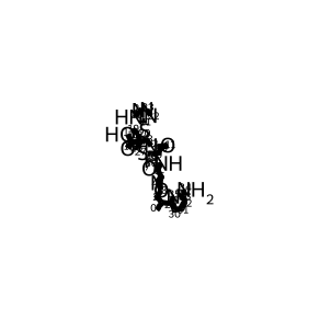 CC(CON=CC(=O)NC1C(=O)N2CC(C(=O)O)(C(C)Sc3nnn[nH]3)CS[C@H]12)c1cccc(N)n1